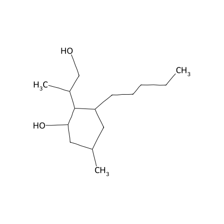 CCCCCC1CC(C)CC(O)C1C(C)CO